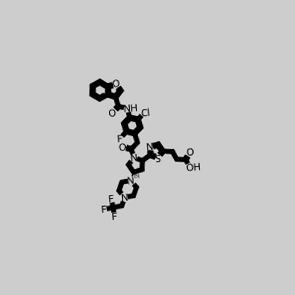 O=C(O)CCc1cnc(C2C[C@H](N3CCN(CC(F)(F)F)CC3)CN2C(=O)Cc2cc(Cl)c(NC(=O)c3coc4ccccc34)cc2F)s1